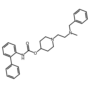 CN(CCN1CCC(OC(=O)Nc2ccccc2-c2ccccc2)CC1)Cc1ccccc1